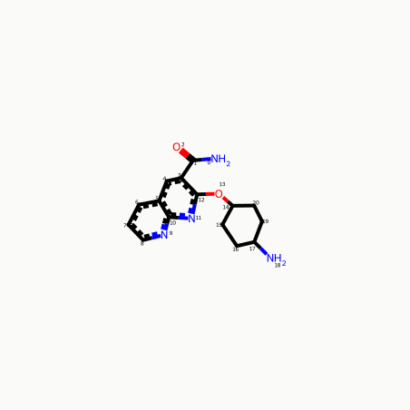 NC(=O)c1cc2cccnc2nc1OC1CCC(N)CC1